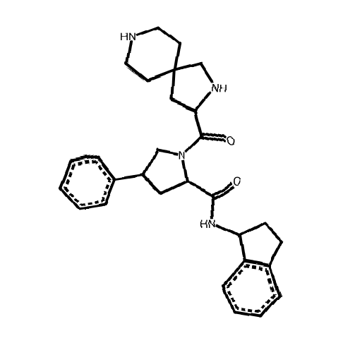 O=C(NC1CCc2ccccc21)C1CC(c2ccccc2)CN1C(=O)C1CC2(CCNCC2)CN1